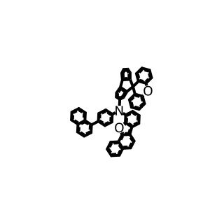 c1ccc2c(c1)Oc1ccccc1C21c2ccccc2-c2ccc(N(c3ccc(-c4cccc5ccccc45)cc3)c3cccc4c3oc3c5ccccc5ccc43)cc21